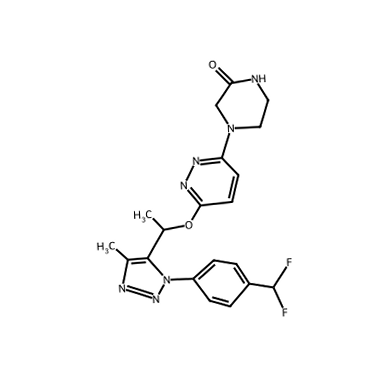 Cc1nnn(-c2ccc(C(F)F)cc2)c1C(C)Oc1ccc(N2CCNC(=O)C2)nn1